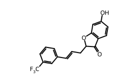 O=C1c2ccc(O)cc2OC1C/C=C/c1cccc(C(F)(F)F)c1